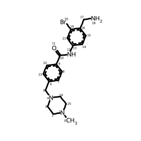 CN1CCN(Cc2ccc(C(=O)Nc3ccc(CN)c(Br)c3)cc2)CC1